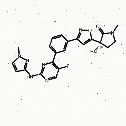 CN1CC[C@@](O)(c2cc(-c3cccc(-c4nc(Nc5ccn(C)n5)ncc4F)c3)no2)C1=O